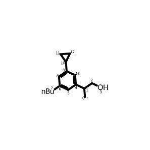 [CH2]C(CO)c1cc(CCCC)cc(C2CC2)c1